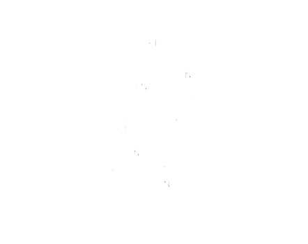 Clc1ncc(Cc2ncccn2)c(Cl)n1